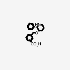 O=C(O)c1cccc(CO[C@@H]2CCCN[C@@H]2c2ccccc2)c1